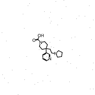 O=C(O)N1CCC(CCN2CCCC2)(c2cccnc2)CC1